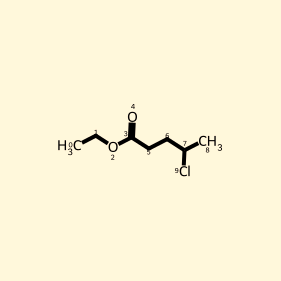 CCOC(=O)CCC(C)Cl